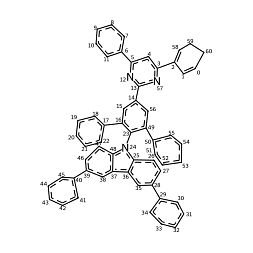 C1=CC(c2cc(-c3ccccc3)nc(-c3cc(-c4ccccc4)c(-n4c5ccc(-c6ccccc6)cc5c5cc(-c6ccccc6)ccc54)c(-c4ccccc4)c3)n2)=CCC1